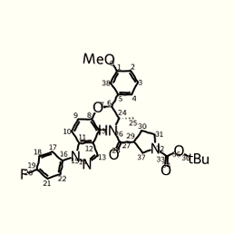 COc1cccc([C@H](Oc2ccc3c(cnn3-c3ccc(F)cc3)c2)[C@H](C)NC(=O)C2CCN(C(=O)OC(C)(C)C)C2)c1